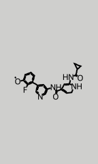 COc1cccc(-c2cncc(NC(=O)C3=CCNC(NC(=O)C4CC4)=C3)c2)c1F